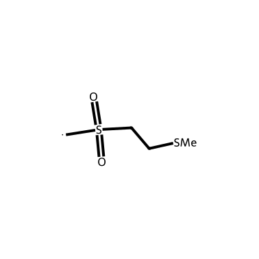 [CH2]S(=O)(=O)CCSC